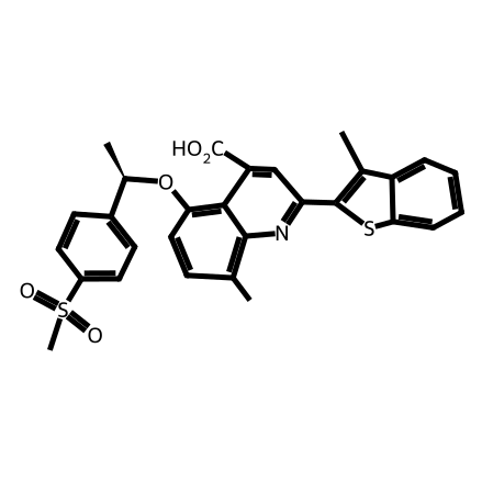 Cc1c(-c2cc(C(=O)O)c3c(O[C@H](C)c4ccc(S(C)(=O)=O)cc4)ccc(C)c3n2)sc2ccccc12